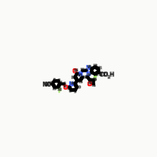 N#Cc1ccc(COc2cccc(-c3ccn(Cc4nc5ccc(C(=O)O)c(F)c5n4CC4CCO4)c(=O)c3)n2)c(F)c1